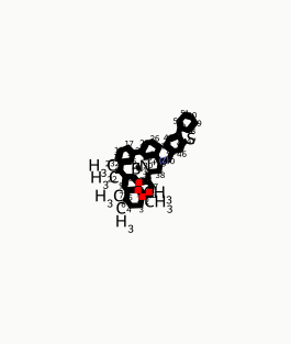 CC1(C)CCC(C)(C)c2cc3c(cc21)B1c2c(cccc2C3(C)C)-c2cccc3c2[N+]1=C(c1ccccc1)C/C3=C/c1ccc2c(c1)sc1ccccc12